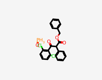 O=C(OCc1ccccc1)C(C(=O)c1c(Cl)cccc1Cl)c1ccccc1.O=[PH3]